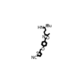 CC[C@@H](C)C(=N)CCc1nc(-c2ccc(OCc3ccc(C#N)s3)cc2)oc1C